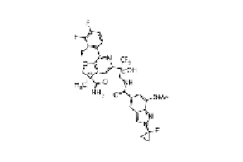 COc1cc(C(=O)NC[C@](O)(c2cc3c(c(-c4ccc(F)c(F)c4F)n2)OC[C@]3(C)C(N)=O)C(F)(F)F)cc2cn(C3(F)CC3)nc12